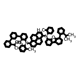 Cc1ccccc1N(c1cccc(-c2cccc(-c3ccccc3C(C)C)c2)c1O)c1ccc2ccc3c(N(c4ccccc4C)c4cccc5c4oc4c(-c6ccccc6C(C)C)cccc45)ccc4ccc1c2c43